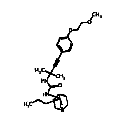 CCCC1(NC(=O)NC(C)(C)C#Cc2ccc(OCCOC)cc2)CN2CCC1CC2